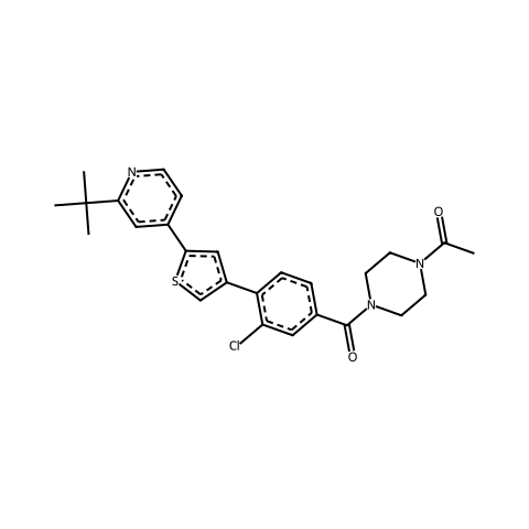 CC(=O)N1CCN(C(=O)c2ccc(-c3csc(-c4ccnc(C(C)(C)C)c4)c3)c(Cl)c2)CC1